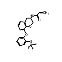 C=CC(=O)NC1COc2c(cccc2Oc2ccccc2SC(F)(F)F)C1